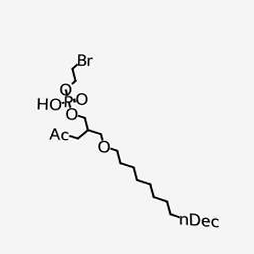 CCCCCCCCCCCCCCCCCCOCC(COP(=O)(O)OCCBr)CC(C)=O